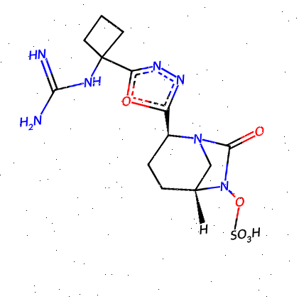 N=C(N)NC1(c2nnc([C@@H]3CC[C@@H]4CN3C(=O)N4OS(=O)(=O)O)o2)CCC1